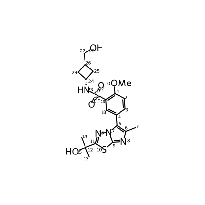 COc1ccc(-c2c(C)nc3sc(C(C)(C)O)nn23)cc1S(=O)(=O)N[C@H]1C[C@H](CO)C1